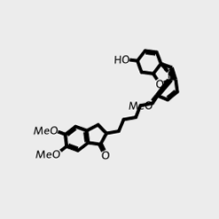 COc1cc2c(cc1OC)C(=O)C(CCCCCN1CCC34C=CC(O)CC3Oc3c(OC)ccc(c34)C1)C2